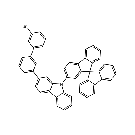 Brc1cccc(-c2cccc(-c3ccc4c5ccccc5n(-c5ccc6c(c5)C5(c7ccccc7-c7ccccc75)c5ccccc5-6)c4c3)c2)c1